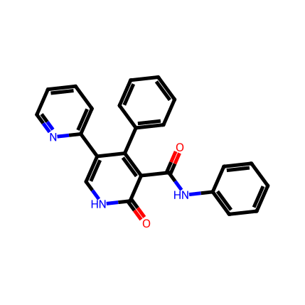 O=C(Nc1ccccc1)c1c(-c2ccccc2)c(-c2ccccn2)c[nH]c1=O